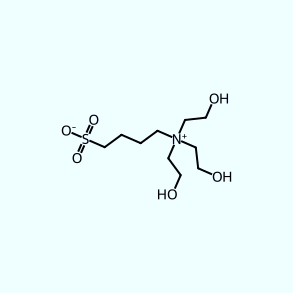 O=S(=O)([O-])CCCC[N+](CCO)(CCO)CCO